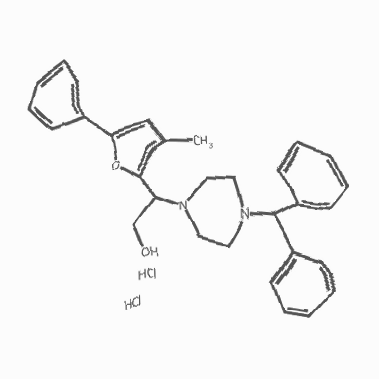 Cc1cc(-c2ccccc2)oc1C(CO)N1CCN(C(c2ccccc2)c2ccccc2)CC1.Cl.Cl